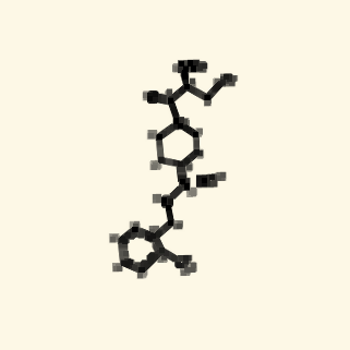 CN[C@@H](CC(C)C)C(=O)N1CCC(=NOCc2ccccc2C(F)(F)F)CC1.Cl